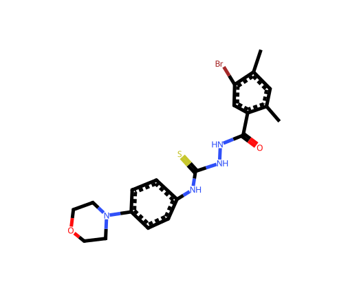 Cc1cc(C)c(C(=O)NNC(=S)Nc2ccc(N3CCOCC3)cc2)cc1Br